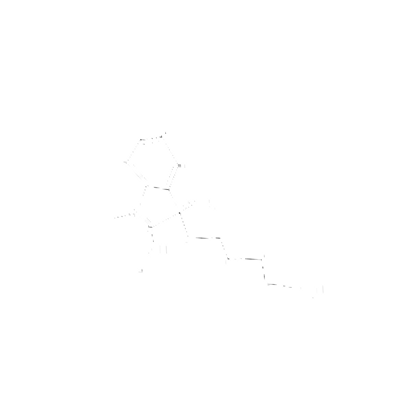 CC[N+]1=C(C)C(C)(CCCCCC(=O)O)c2ccccc21.[I-]